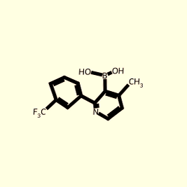 Cc1ccnc(-c2cccc(C(F)(F)F)c2)c1B(O)O